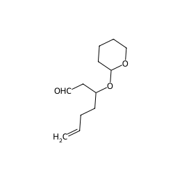 C=CCCC(CC=O)OC1CCCCO1